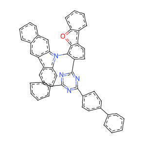 c1ccc(-c2ccc(-c3nc(-c4ccccc4)nc(-c4ccc5c(oc6ccccc65)c4-n4c5ccccc5c5cc6ccccc6cc54)n3)cc2)cc1